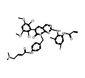 C=CC(=O)Nc1cc(F)cc(C)c1Nc1ncc2cc(-c3c(Cl)c(OC)cc(OC)c3Cl)c(=O)n(Cc3ccc(NC(=O)/C=C/CN(C)C)cc3)c2n1